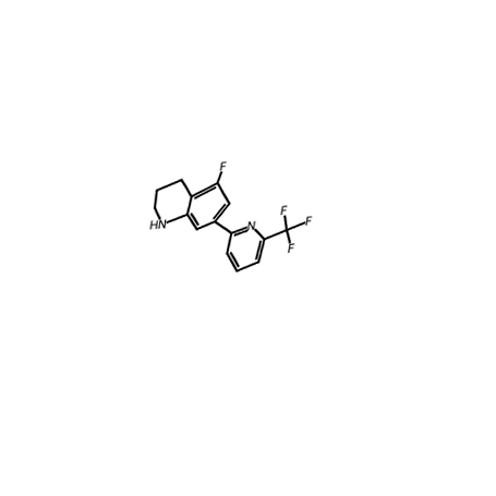 Fc1cc(-c2cccc(C(F)(F)F)n2)cc2c1CCCN2